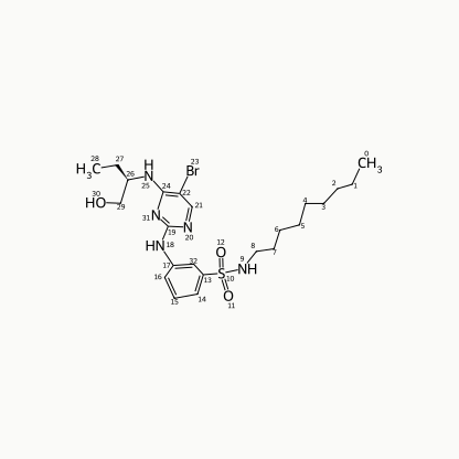 CCCCCCCCCNS(=O)(=O)c1cccc(Nc2ncc(Br)c(N[C@H](CC)CO)n2)c1